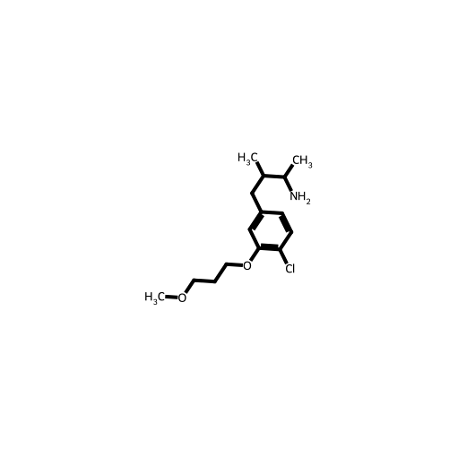 COCCCOc1cc(CC(C)C(C)N)ccc1Cl